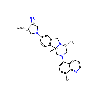 CO[C@H]1CN(c2ccc3c(c2)CN2[C@H](C)CN(c4ccc(C#N)c5ncccc45)C[C@H]32)C[C@@H]1N